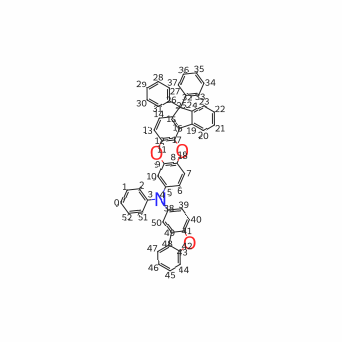 c1ccc(N(c2ccc3c(c2)Oc2ccc4c(c2O3)-c2ccccc2C4(c2ccccc2)c2ccccc2)c2ccc3oc4ccccc4c3c2)cc1